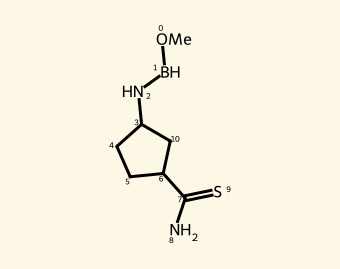 COBNC1CCC(C(N)=S)C1